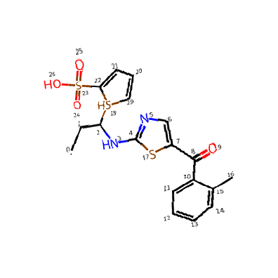 [CH2]CC(Nc1ncc(C(=O)c2ccccc2C)s1)[SH]1C=CC=C1S(=O)(=O)O